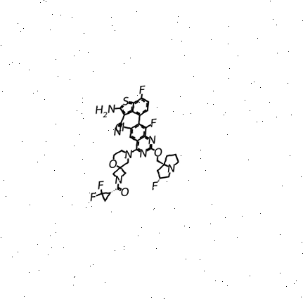 N#Cc1c(N)sc2c(F)ccc(-c3c(Cl)cc4c(N5CCOC6(CN(C(=O)[C@@H]7CC7(F)F)C6)C5)nc(OC[C@@]56CCCN5C[C@H](F)C6)nc4c3F)c12